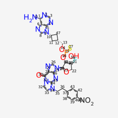 Nc1ncnc2c1ncn2[C@H]1C[C@@H](COP(O)(=S)O[C@@H]2[C@H](F)CO[C@H]2n2cnc3c(=O)n4ccn(CCc5ccc([N+](=O)[O-])cc5)c4nc32)C1